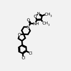 Cc1noc(NC(=O)N2CCC3(CC2)CC(c2ccc(Cl)c(Cl)c2)CO3)c1C